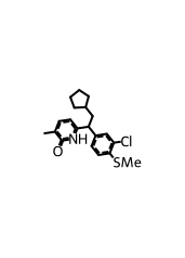 CSc1ccc(C(CC2CCCC2)c2ccc(C)c(=O)[nH]2)cc1Cl